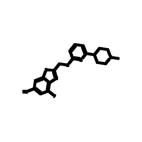 CN1CCC(c2cccc(OCc3nc4c(F)cc(C#N)cc4s3)n2)CC1